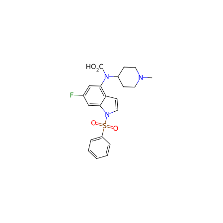 CN1CCC(N(C(=O)O)c2cc(F)cc3c2ccn3S(=O)(=O)c2ccccc2)CC1